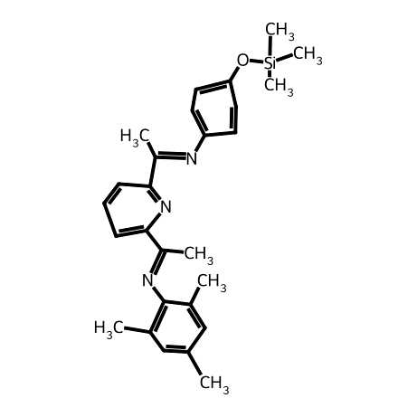 C/C(=N\c1ccc(O[Si](C)(C)C)cc1)c1cccc(/C(C)=N/c2c(C)cc(C)cc2C)n1